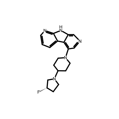 F[C@H]1CCN(C2CCN(c3cncc4[nH]c5ncccc5c34)CC2)C1